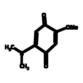 COC1=CC(=O)C(N(C)C)=CC1=O